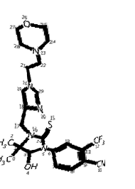 CC1(C)C(O)N(c2ccc(C#N)c(C(F)(F)F)c2)C(=S)N1Cc1cn(CCN2CCOCC2)cn1